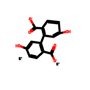 O=C([O-])c1ccc(O)cc1-c1cc(O)ccc1C(=O)[O-].[K+].[K+]